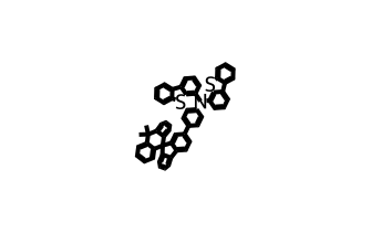 CC1(C)c2ccccc2C2(c3ccccc3-c3ccc(-c4ccc(N(c5cccc6c5sc5ccccc56)c5cccc6c5sc5ccccc56)cc4)cc32)c2ccccc21